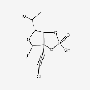 BC1O[C@H](C(C)O)C2OP(=O)(O)OC12C#CCl